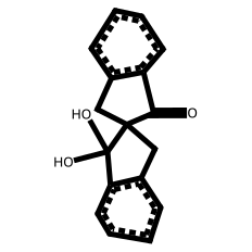 O=C1c2ccccc2CC12Cc1ccccc1C2(O)O